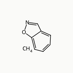 C.c1ccc2oncc2c1